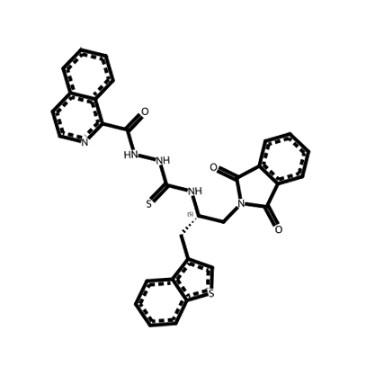 O=C(NNC(=S)N[C@@H](Cc1csc2ccccc12)CN1C(=O)c2ccccc2C1=O)c1nccc2c[c]ccc12